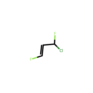 FC=CC(F)Cl